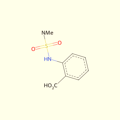 CNS(=O)(=O)Nc1ccccc1C(=O)O